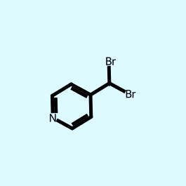 Br[C](Br)c1ccncc1